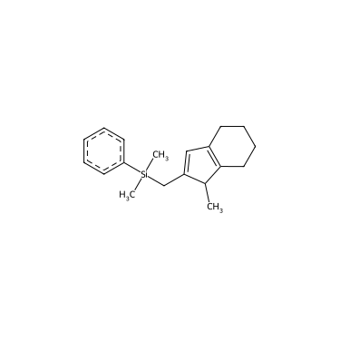 CC1C(C[Si](C)(C)c2ccccc2)=CC2=C1CCCC2